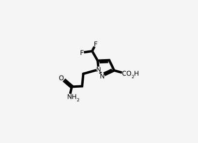 NC(=O)CCn1nc(C(=O)O)cc1C(F)F